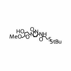 COCC1OC(n2ccc(NC(=O)CCSSC(C)(C)C)nc2=O)CC1O